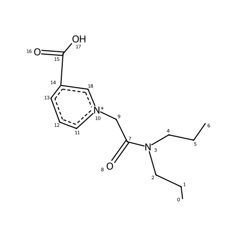 CCCN(CCC)C(=O)C[n+]1cccc(C(=O)O)c1